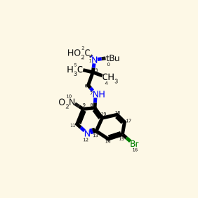 CC(C)(C)N(C(=O)O)C(C)(C)CNc1c([N+](=O)[O-])cnc2cc(Br)ccc12